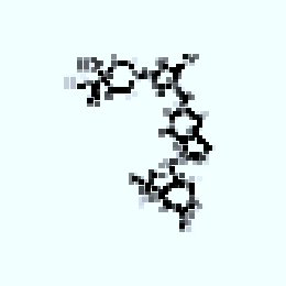 O=C1N=C(N2CCC(O)(C(=O)O)CC2)S/C1=C\c1ccc2c(cnn2Cc2ccc(Cl)cc2C(F)(F)F)c1